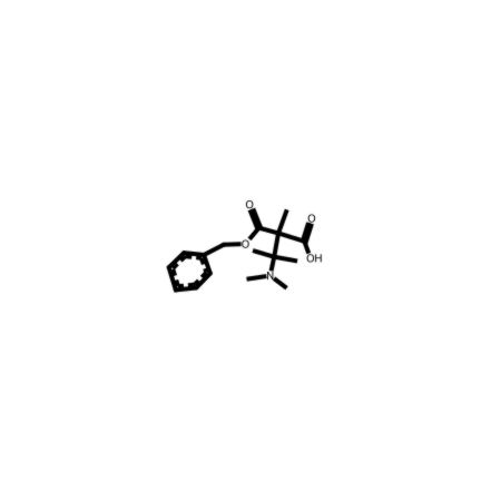 CN(C)C(C)(C)C(C)(C(=O)O)C(=O)OCc1ccccc1